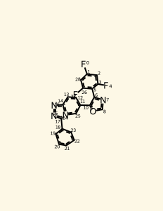 Fc1cc(F)c(-c2ncoc2-c2ccc3nnc(-c4ccccc4)n3c2)c(F)c1